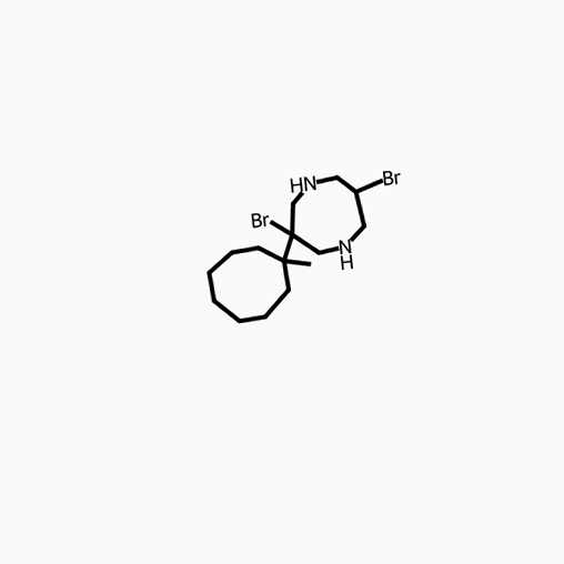 CC1(C2(Br)CNCC(Br)CNC2)CCCCCCC1